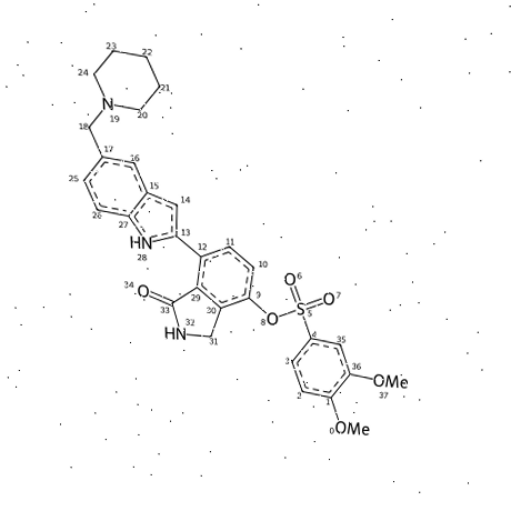 COc1ccc(S(=O)(=O)Oc2ccc(-c3cc4cc(CN5CCCCC5)ccc4[nH]3)c3c2CNC3=O)cc1OC